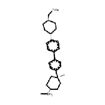 COC[C@H]1CC[C@H](c2ccc(-c3ccc([C@]4(C)CC[C@@H]([SiH2]C)CC4)cc3)cc2)CC1